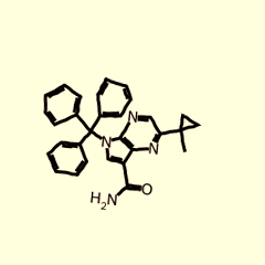 CC1(c2cnc3c(n2)c(C(N)=O)cn3C(c2ccccc2)(c2ccccc2)c2ccccc2)CC1